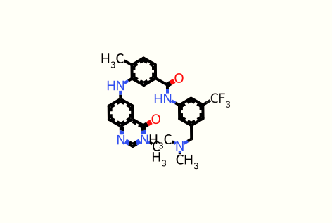 Cc1ccc(C(=O)Nc2cc(CN(C)C)cc(C(F)(F)F)c2)cc1Nc1ccc2ncn(C)c(=O)c2c1